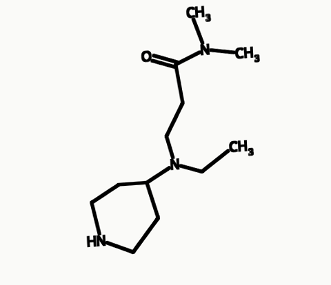 CCN(CCC(=O)N(C)C)C1CCNCC1